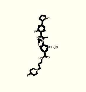 Cc1c(-c2ccc(C3CCCN3)cc2F)nc2sc3cc(C(=O)NCCCN4CCC(F)CC4)ccc3n12.Cl.Cl